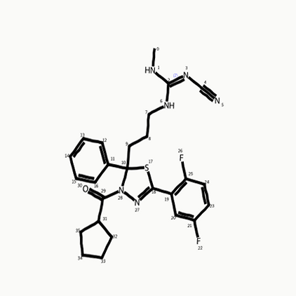 CN/C(=N/C#N)NCCCC1(c2ccccc2)SC(c2cc(F)ccc2F)=NN1C(=O)C1CCCC1